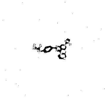 CCNC(=O)Nc1ccc(-c2nc3c(c(N4CCOC[C@@H]4C)n2)CCN(c2nccn2CC)C3)cc1